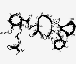 COc1ccnc(C(=O)N[C@H]2CCC[C@H](Oc3ccccc3)[C@@H](Oc3ccccc3)[C@H](C)OC2=O)c1OCOC(=O)C(C)C